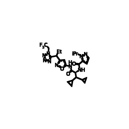 CCC(c1cc(NC(=O)[C@@H](NC(=O)c2ccnn2C(C)C)C(C2CC2)C2CC2)on1)c1nnnn1CC(F)(F)F